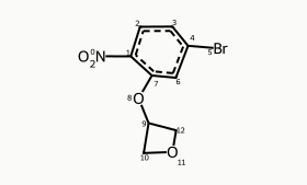 O=[N+]([O-])c1ccc(Br)cc1OC1COC1